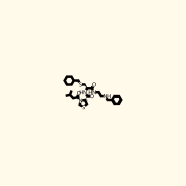 CC(C)CC(=O)N1CSC[C@H]1C(=O)N[C@@H](CSCC1CCCCC1)C(=O)NCCNCc1ccccc1